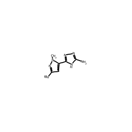 Cn1nc(C(C)(C)C)cc1-c1nnc(N)[nH]1